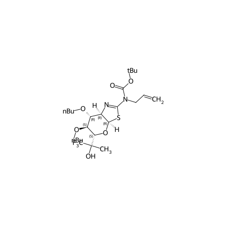 C=CCN(C(=O)OC(C)(C)C)C1=N[C@@H]2[C@@H](OCCCC)[C@H](OCCCC)[C@@H](C(C)(O)C(F)(F)F)O[C@@H]2S1